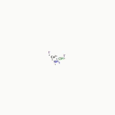 Cl.N.[Ca+2].[I-].[I-]